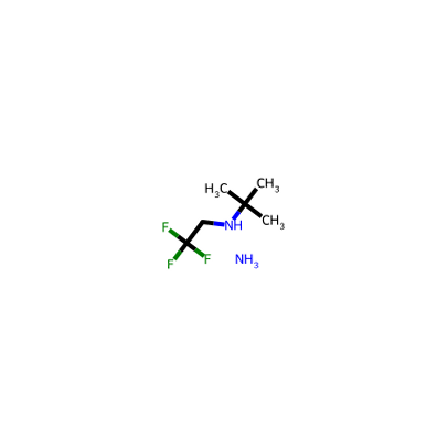 CC(C)(C)NCC(F)(F)F.N